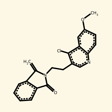 C=C1c2ccccc2C(=O)N1CCc1cnc2ccc(OC)cc2c1Cl